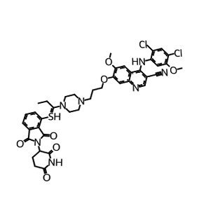 CCC(=[SH]c1cccc2c1C(=O)N(C1CCC(=O)NC1=O)C2=O)N1CCN(CCCOc2cc3ncc(C#N)c(Nc4cc(OC)c(Cl)cc4Cl)c3cc2OC)CC1